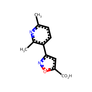 Cc1ccc(-c2cc(C(=O)O)on2)c(C)n1